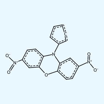 O=[N+]([O-])c1ccc2c(c1)Oc1ccc([N+](=O)[O-])cc1N2c1ccccc1